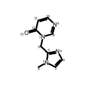 Cn1ccnc1Cn1cnccc1=O